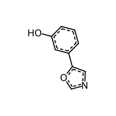 Oc1cccc(-c2cnco2)c1